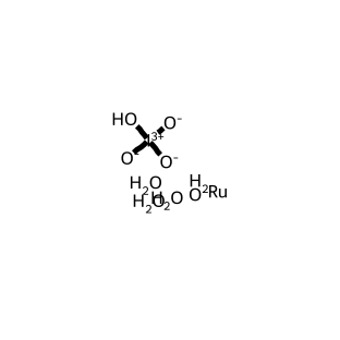 O.O.O.O.[O-][I+3]([O-])([O-])O.[Ru]